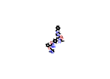 CCC(=O)NC(Cc1ccc(NC(=O)C(NC(=O)c2ccnn2C)C2CCCC2)cc1)C(=O)N1CCN(Cc2ccccc2)CC1